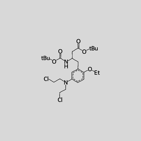 CCOc1ccc(N(CCCl)CCCl)cc1CC(CC(=O)OC(C)(C)C)NC(=O)OC(C)(C)C